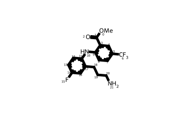 COC(=O)c1cc(C(F)(F)F)ccc1Nc1ccc(F)cc1CCCN